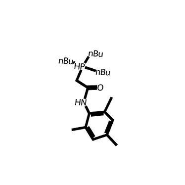 CCCC[PH](CCCC)(CCCC)CC(=O)Nc1c(C)cc(C)cc1C